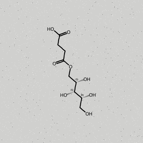 O=C(O)CCC(=O)OC[C@H](O)[C@@H](O)[C@H](O)CO